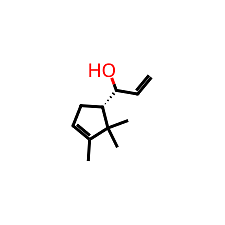 C=CC(O)[C@H]1CC=C(C)C1(C)C